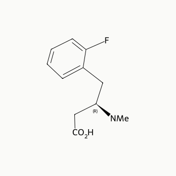 CN[C@@H](CC(=O)O)Cc1ccccc1F